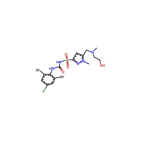 CC(C)c1cc(F)cc(C(C)C)c1NC(=O)NS(=O)(=O)c1cc(CN(C)CCO)n(C)n1